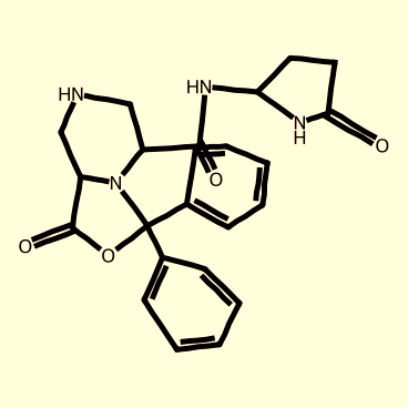 O=C1CCC(NC(=O)C2CNCC3C(=O)OC(c4ccccc4)(c4ccccc4)N23)N1